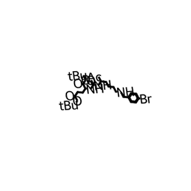 CC(=O)C(CCCCNCc1ccc(Br)cc1)NC(=O)NC(CCC(=O)OC(C)(C)C)C(=O)OC(C)(C)C